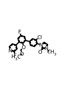 COCOc1c(-c2ccnc(F)c2)cc(F)cc1-c1ccc(-n2ccn(C)c2=O)c(Cl)c1